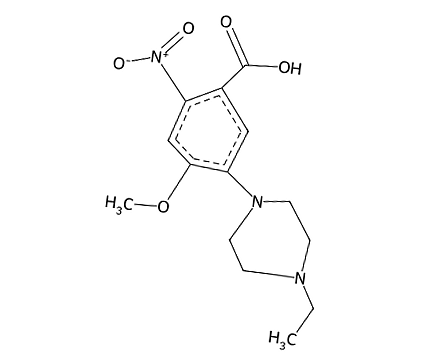 CCN1CCN(c2cc(C(=O)O)c([N+](=O)[O-])cc2OC)CC1